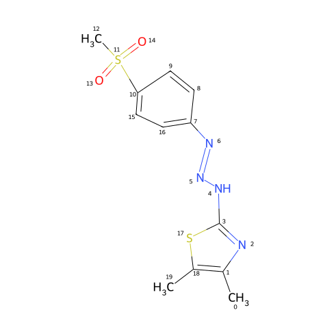 Cc1nc(NN=Nc2ccc(S(C)(=O)=O)cc2)sc1C